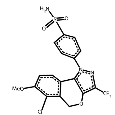 COc1ccc2c(c1Cl)COc1c(C(F)(F)F)nn(-c3ccc(S(N)(=O)=O)cc3)c1-2